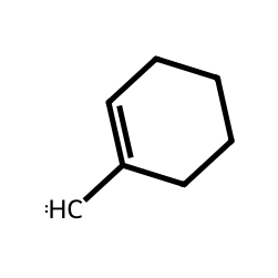 [CH]C1=CCCCC1